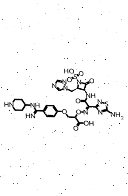 N=C(NC1CCNCC1)c1ccc(OCC(O/N=C(\C(=O)N[C@@H]2C(=O)N(S(=O)(=O)O)[C@@H]2Cn2cncn2)c2nsc(N)n2)C(=O)O)cc1